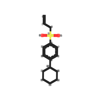 C=CCS(=O)(=O)c1ccc(C2CCCCC2)cc1